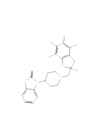 Cc1c(C)c2c(c(C)c1N)CC(C)(CN1CCC(n3c(=O)[nH]c4ccccc43)CC1)O2.Cl.Cl